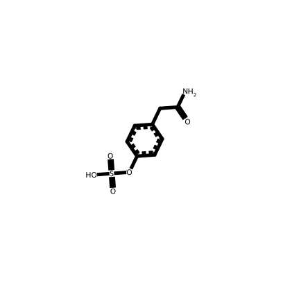 NC(=O)Cc1ccc(OS(=O)(=O)O)cc1